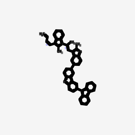 C=C/C=C\c1c(C)n(/C(C)=C/c2c(C)oc3ccc(-c4ccc5oc6ccc(-n7c8ccccc8c8ccccc87)cc6c5c4)cc23)c2ccccc12